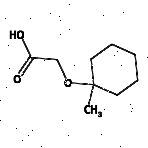 CC1(OCC(=O)O)CCCCC1